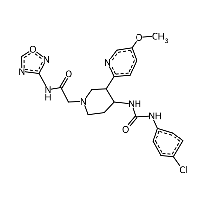 COc1ccc(C2CN(CC(=O)Nc3ncon3)CCC2NC(=O)Nc2ccc(Cl)cc2)nc1